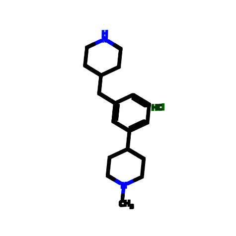 CN1CCC(c2cccc(CC3CCNCC3)c2)CC1.Cl